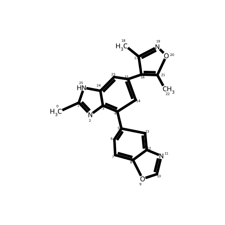 Cc1nc2c(-c3ccc4ocnc4c3)cc(-c3c(C)noc3C)cc2[nH]1